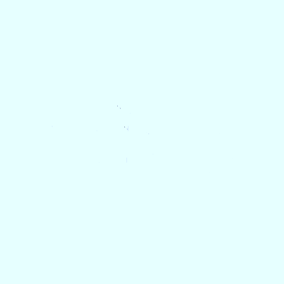 NN(C(=O)OC1COS(=O)(=O)C1)P(=O)(F)OC(C(F)(F)F)C(F)(F)F